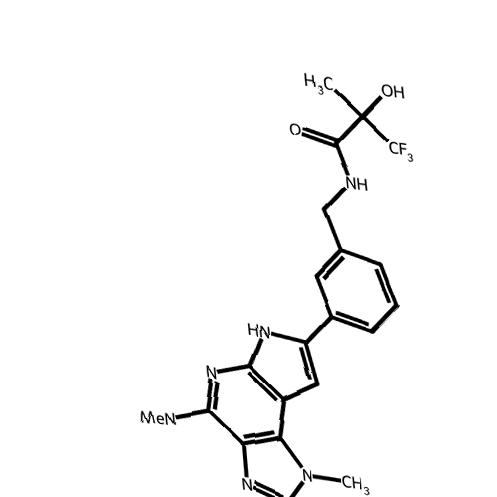 CNc1nc2[nH]c(-c3cccc(CNC(=O)C(C)(O)C(F)(F)F)c3)cc2c2c1ncn2C